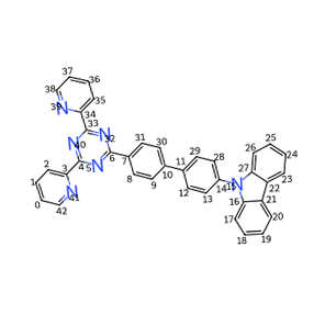 c1ccc(-c2nc(-c3ccc(-c4ccc(-n5c6ccccc6c6ccccc65)cc4)cc3)nc(-c3ccccn3)n2)nc1